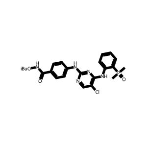 CC(C)CONC(=O)c1ccc(Nc2ncc(Cl)c(Nc3ccccc3P(C)(C)=O)n2)cc1